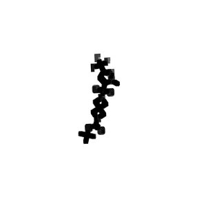 Cn1nc(C(F)(F)F)cc1S(=O)(=O)N1CC2(CN(C(=O)OC(C)(C)C)C2)C1